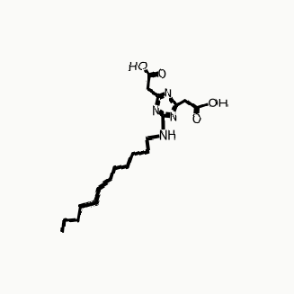 CCCCCCCCCCCCNc1nc(CC(=O)O)nc(CC(=O)O)n1